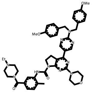 CCN1CCN(C(=O)c2ccc(C)c(NC(=O)N3CCc4c(-c5cnc(N(Cc6ccc(OC)cc6)Cc6ccc(OC)cc6)nc5)nc(N5CCOCC5)nc43)c2)CC1